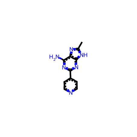 Cc1nc2c(N)nc(-c3ccncc3)nc2[nH]1